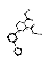 CCCCOC(=O)[C@H]1C[C@@H](c2cccc(-n3cccn3)c2)CCN1C(=O)OC(C)(C)C